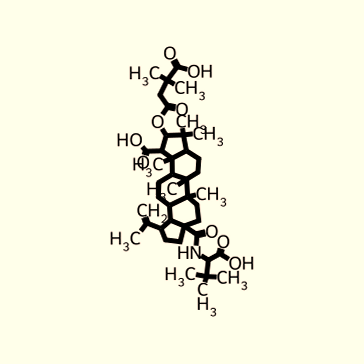 C=C(C)C1CCC2(C(=O)NC(C(=O)O)C(C)(C)C)CCC3(C)C(CCC4C5(C)C(C(=O)O)C(OC(=O)CC(C)(C)C(=O)O)C(C)(C)C5CCC43C)C12